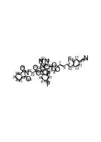 C[C@@H](S[C@H]1CO[C@H](C=CC=Cc2ccc(C#N)cc2F)OC1)[C@@](Cn1cncn1)(OC(=O)CCN1C(=O)c2ccccc2C1=O)c1ccc(F)cc1F